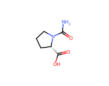 NC(=O)N1CCC[C@H]1C(=O)O